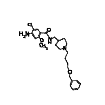 COc1cc(N)c(Cl)cc1C(=O)NCC1CCN(CCCCOCc2ccccc2)CC1